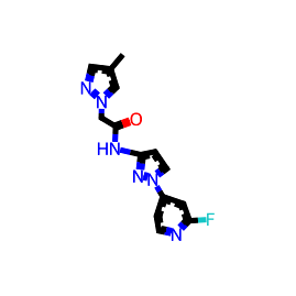 Cc1cnn(CC(=O)Nc2ccn(-c3ccnc(F)c3)n2)c1